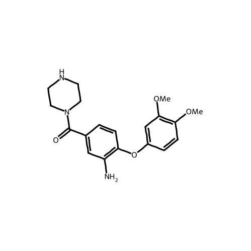 COc1ccc(Oc2ccc(C(=O)N3CCNCC3)cc2N)cc1OC